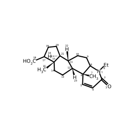 CCN1C(=O)C=C[C@@]2(C)C1CC[C@@H]1[C@H]2CC[C@]2(C)C(C(=O)O)CC[C@@H]12